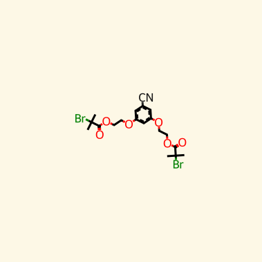 CC(C)(Br)C(=O)OCCOc1cc(C#N)cc(OCCOC(=O)C(C)(C)Br)c1